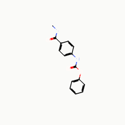 CNC(=O)c1ccc(NC(=O)Oc2ccccc2)cc1